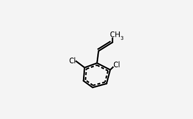 CC=Cc1c(Cl)cccc1Cl